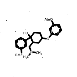 COc1cccc(OC2CCC(O)(c3cccc(OC)c3)C(CN(C)C)C2)c1